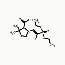 CCOP(=O)(OCC)C(F)=C[C@H]1COC(C)(C)N1C(=O)O